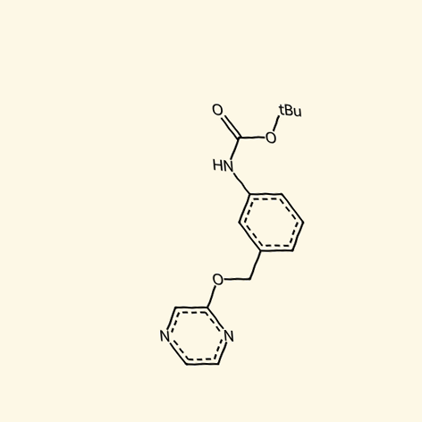 CC(C)(C)OC(=O)Nc1cccc(COc2cnccn2)c1